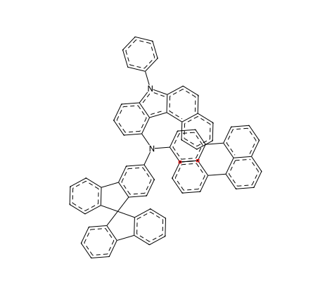 c1ccc(-c2cccc3cccc(-c4ccc(N(c5ccc6c(c5)-c5ccccc5C65c6ccccc6-c6ccccc65)c5cccc6c5c5c7ccccc7ccc5n6-c5ccccc5)cc4)c23)cc1